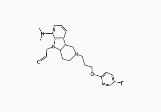 CN(C)c1cccc2c1N(CC=O)C1CCN(CCCOc3ccc(F)cc3)CC21